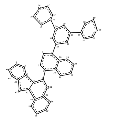 c1ccc2c3c(-c4ccc(-c5cc(-c6ccncc6)cc(-c6ccncc6)c5)c5ccccc45)oc4ccccc4c-3nc2c1